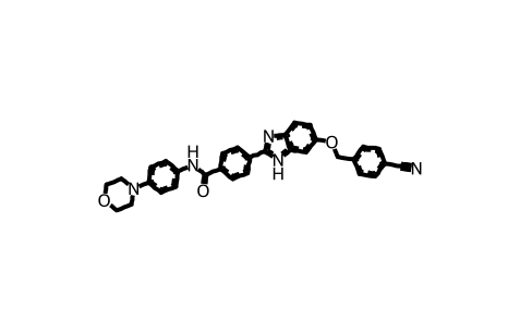 N#Cc1ccc(COc2ccc3nc(-c4ccc(C(=O)Nc5ccc(N6CCOCC6)cc5)cc4)[nH]c3c2)cc1